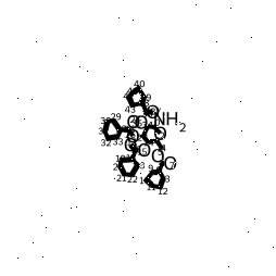 N[C@@H]1OC(COC(=O)c2ccccc2)[C@H](OC(=O)c2ccccc2)[C@H](OC(=O)c2ccccc2)C1OC(=O)c1ccccc1